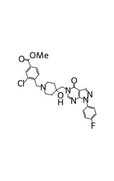 COC(=O)c1ccc(CN2CCC(O)(Cn3cnc4c(cnn4-c4ccc(F)cc4)c3=O)CC2)c(Cl)c1